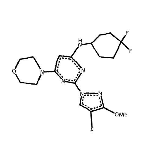 COc1nn(-c2nc(NC3CCC(F)(F)CC3)cc(N3CCOCC3)n2)cc1F